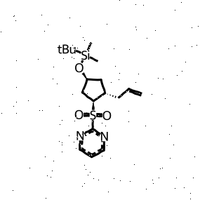 C=CC[C@H]1C[C@H](O[Si](C)(C)C(C)(C)C)C[C@@H]1S(=O)(=O)c1ncccn1